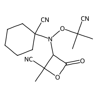 CC(C)(C#N)ON(C1C(=O)OC1(C)C#N)C1(C#N)CCCCC1